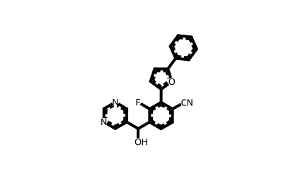 N#Cc1ccc(C(O)c2cncnc2)c(F)c1-c1ccc(-c2ccccc2)o1